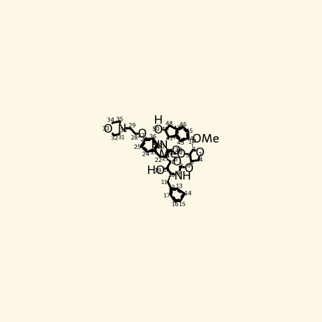 COC[C@@H]1OC[C@@H](OC(=O)N[C@@H](Cc2ccccc2)[C@@H](O)C[C@@H](Cc2ccc(OCCN3CCOCC3)cc2)C(=O)N[C@H]2c3ccccc3C[C@H]2O)[C@H]1OC